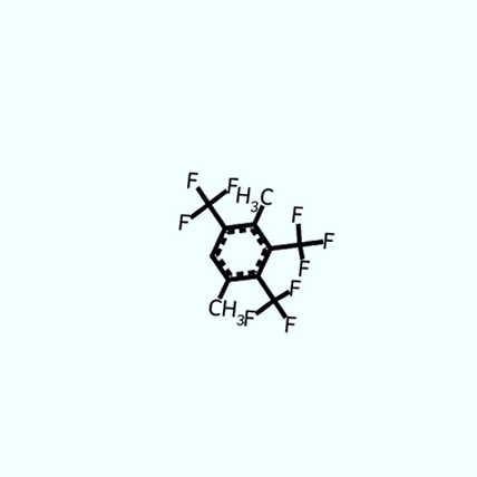 Cc1cc(C(F)(F)F)c(C)c(C(F)(F)F)c1C(F)(F)F